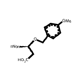 CCCCCCCCC[C@H](CC(=O)O)OCc1ccc(OC)cc1